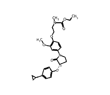 CCOC(=O)N(C)CCOc1ccc(N2CC[C@H](Oc3ccc(C4CC4)cc3)C2=O)cc1OC